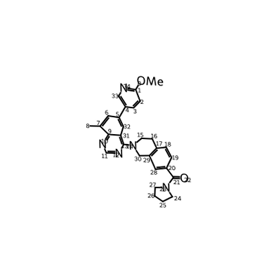 COc1ccc(-c2cc(C)c3ncnc(N4CCc5ccc(C(=O)N6CCCC6)cc5C4)c3c2)cn1